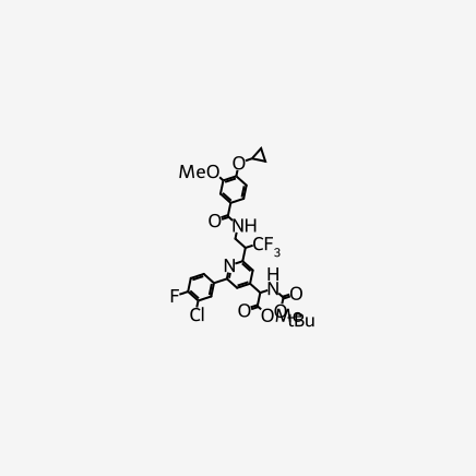 COC(=O)C(NC(=O)OC(C)(C)C)c1cc(-c2ccc(F)c(Cl)c2)nc(C(CNC(=O)c2ccc(OC3CC3)c(OC)c2)C(F)(F)F)c1